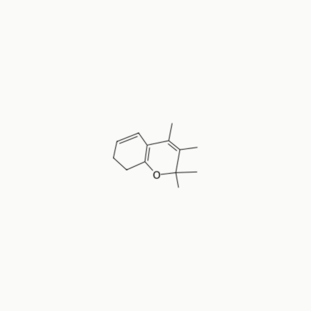 CC1=C(C)C(C)(C)OC2=C1C=CCC2